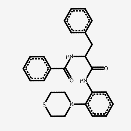 O=C(NC(Cc1ccccc1)C(=O)Nc1ccccc1N1CCSCC1)c1ccccc1